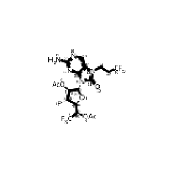 CC(=O)O[C@@H]1[C@@H](F)[C@@H]([C@@H](OC(C)=O)C(F)(F)F)O[C@H]1n1c(=O)n(CCC(F)(F)F)c2cnc(N)nc21